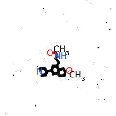 COc1ccc2cc(-c3ccncc3)cc(CCNC(C)=O)c2c1